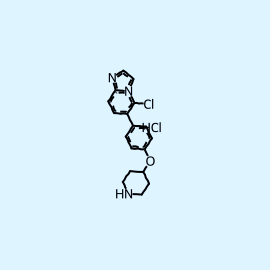 Cl.Clc1c(-c2ccc(OC3CCNCC3)cc2)ccc2nccn12